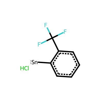 Cl.FC(F)(F)c1cccc[c]1[Sn]